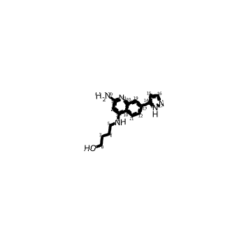 Nc1cc(NCCCCO)c2ccc(-c3ccn[nH]3)cc2n1